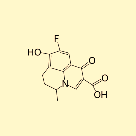 CC1CCc2c(O)c(F)cc3c(=O)c(C(=O)O)cn1c23